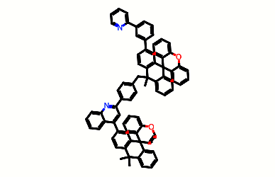 CC1(C)c2ccccc2C2(c3ccccc3Oc3ccccc32)c2cc(-c3cc(-c4ccc(CC5(C)c6ccccc6C6(c7ccccc7Oc7ccccc76)c6cc(-c7cccc(-c8ccccn8)c7)ccc65)cc4)nc4ccccc34)ccc21